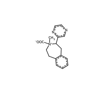 C[N+]1(C(=O)[O-])CCc2ccccc2CC1c1cnccn1